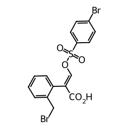 O=C(O)/C(=C/OS(=O)(=O)c1ccc(Br)cc1)c1ccccc1CBr